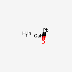 [GaH3].[InH3].[O]=[Pb]